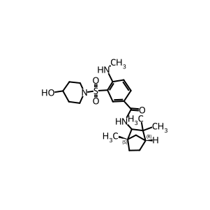 CNc1ccc(C(=O)NC2C(C)(C)[C@@H]3CC[C@@]2(C)C3)cc1S(=O)(=O)N1CCC(O)CC1